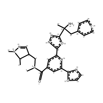 CC1C(CN(C)C(=O)c2cc(-c3ncco3)nc(-c3nnc(C(C)(N)Cc4ccccc4)o3)c2)C=NN1C